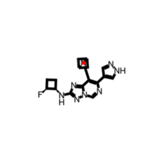 F[C@H]1CC[C@H]1Nc1nc2c(N3CC4CC3C4)c(-c3cn[nH]c3)ncn2n1